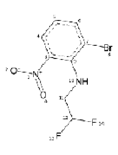 O=[N+]([O-])c1[c]ccc(Br)c1NCC(F)F